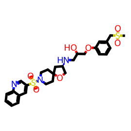 CS(=O)(=O)Cc1cccc(OCC(O)CN[C@H]2COC3(CCN(S(=O)(=O)c4cnc5ccccc5c4)CC3)C2)c1